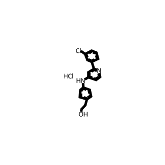 Cl.OCCc1ccc(Nc2ccnc(-c3cccc(Cl)c3)c2)cc1